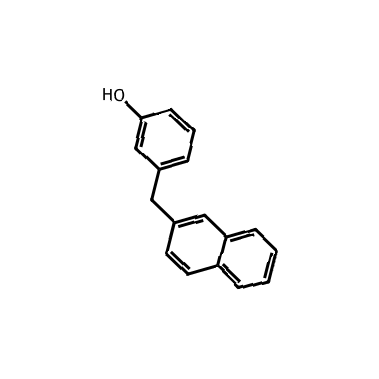 Oc1cccc(Cc2ccc3ccccc3c2)c1